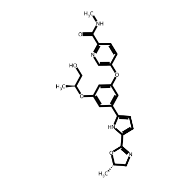 CNC(=O)c1ccc(Oc2cc(O[C@@H](C)CO)cc(-c3ccc(C4=NC[C@H](C)O4)[nH]3)c2)cn1